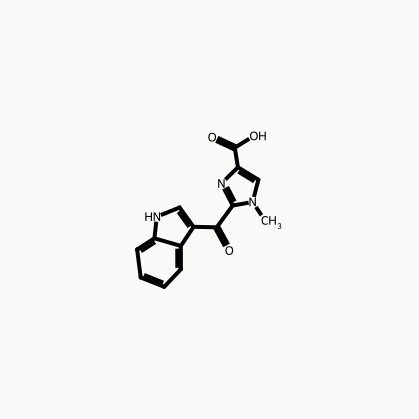 Cn1cc(C(=O)O)nc1C(=O)c1c[nH]c2ccccc12